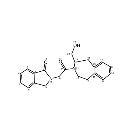 O=C1c2ccccc2CN1CC(=O)N1CCc2ccccc2CC1CO